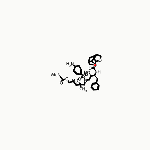 CNC(=O)OCCCC(C)(C)CN(C[C@@H](O)[C@H](Cc1ccccc1)NC(=O)OC1C2COC3OCC1C3C2)S(=O)(=O)C1=CCC(N)C=C1